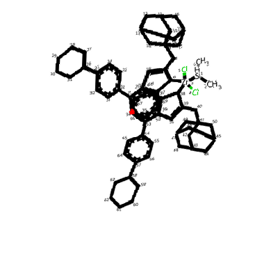 C[SiH](C)[Zr]([Cl])([Cl])([CH]1C(CC23CC4CC(CC(C4)C2)C3)=Cc2c(-c3ccc(C4CCCCC4)cc3)cccc21)[CH]1C(CC23CC4CC(CC(C4)C2)C3)=Cc2c(-c3ccc(C4CCCCC4)cc3)cccc21